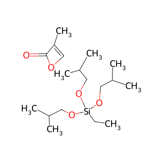 CC1=COC1=O.CC[Si](OCC(C)C)(OCC(C)C)OCC(C)C